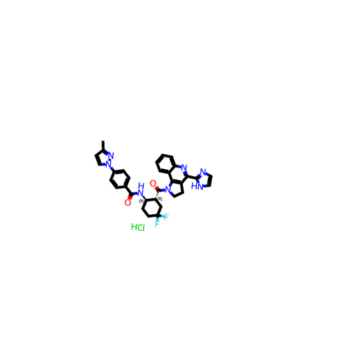 Cc1ccn(-c2ccc(C(=O)N[C@@H]3CCC(F)(F)C[C@H]3C(=O)N3CCc4c(-c5ncc[nH]5)nc5ccccc5c43)cc2)n1.Cl